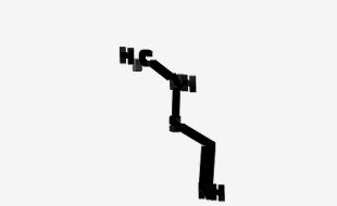 CNSC=N